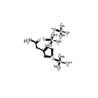 NC(=O)Cc1ccccc1.O=P(O)(O)O.O=P(O)(O)O.O=P(O)(O)O